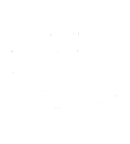 COc1ccc(C2OC[C@H](CC(C)C)C2C(=O)OC(C)(C)C)c(C)c1